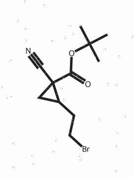 CC(C)(C)OC(=O)C1(C#N)CC1CCBr